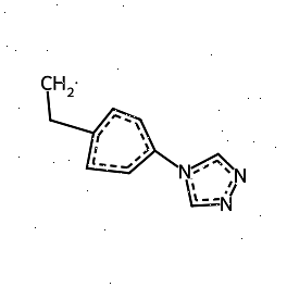 [CH2]Cc1ccc(-n2cnnc2)cc1